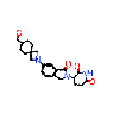 O=CC1CCC2(CC1)CN(c1ccc3c(c1)C(=O)N(C1CCC(=O)NC1=O)C3)C2